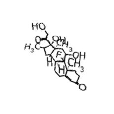 CC1C[C@H]2[C@@H]3CCC4=CC(=O)CC[C@]4(C)[C@@]3(F)C(O)C[C@]2(C)[C@@]1(O)C(=O)CO